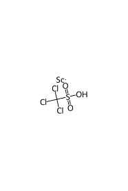 O=S(=O)(O)C(Cl)(Cl)Cl.[Sc]